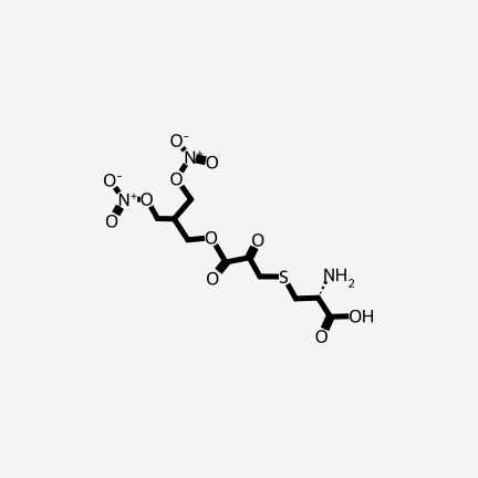 N[C@@H](CSCC(=O)C(=O)OCC(CO[N+](=O)[O-])CO[N+](=O)[O-])C(=O)O